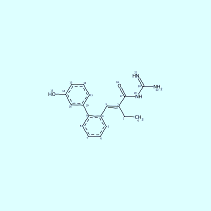 CC/C(=C\c1ccccc1-c1cccc(O)c1)C(=O)NC(=N)N